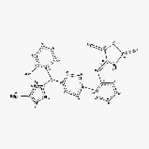 CCCCc1nnc(C(c2ccc(-c3ccccc3/C=C3\NC(=O)CC3=O)cc2)c2ccccc2F)[nH]1